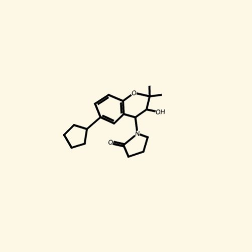 CC1(C)Oc2ccc(C3CCCC3)cc2C(N2CCCC2=O)C1O